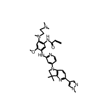 C=CC(=O)Nc1cc(Nc2cc(N3CC(C)(C)c4nc(-c5cnn(C)c5)ccc43)ccn2)c(OC)cc1N(C)CCN(C)C